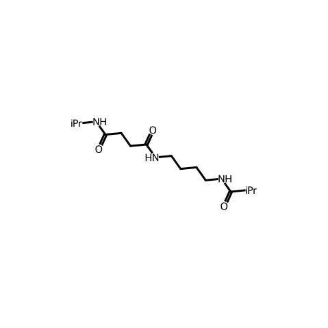 CC(C)NC(=O)CCC(=O)NCCCCNC(=O)C(C)C